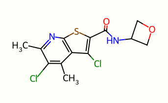 Cc1nc2sc(C(=O)NC3COC3)c(Cl)c2c(C)c1Cl